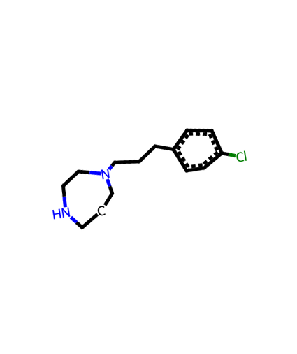 Clc1ccc(CCCN2CCCNCC2)cc1